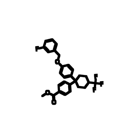 COC(=O)c1ccc(C2(c3ccc(OCc4cccc(F)c4)cc3)CCC(C(F)(F)F)CC2)cc1